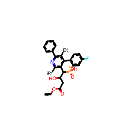 C=COC(=O)CC(O)C(c1c(C(C)C)nc(-c2ccccc2)c(CC)c1-c1ccc(F)cc1)[PH](=O)O